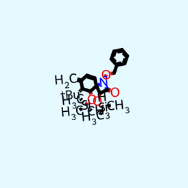 C=C1C=CC2(C(O[SiH](C)C)C(=O)N2OCc2ccccc2)C(O[Si](C)(C)C)C1C(C)(C)C